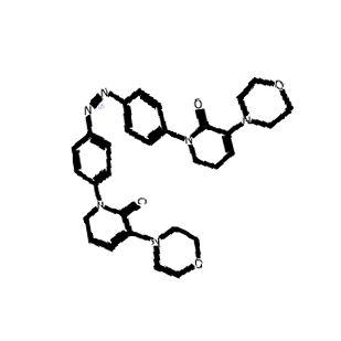 O=C1C(N2CCOCC2)=CCCN1c1ccc(/N=N\c2ccc(N3CCC=C(N4CCOCC4)C3=O)cc2)cc1